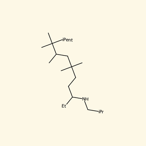 CCCC(C)C(C)(C)C(C)CC(C)(C)CCC(CC)NCC(C)C